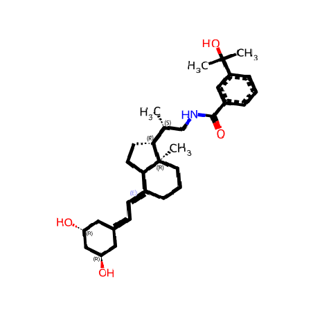 C[C@H](CNC(=O)c1cccc(C(C)(C)O)c1)[C@H]1CCC2/C(=C/C=C3C[C@@H](O)C[C@H](O)C3)CCC[C@@]21C